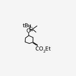 CCOC(=O)/C=C1\CCCC(O[Si](C)(C)C(C)(C)C)C1